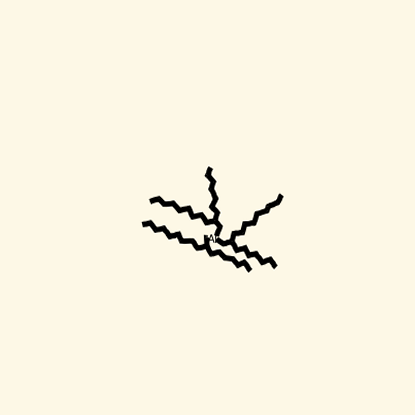 CCCCCCCCCC(CCCCCCC)[CH2][Al]([CH2]C(CCCCCCC)CCCCCCCCC)[CH2]C(CCCCCCC)CCCCCCCCC